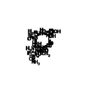 CC[C@H](C)[C@@H]1NC(=O)[C@@H](Cc2ccc(O)cc2)NC(O)CCS(=O)(=O)CC[C@@H](C(=O)N(C)CC(=O)N[C@@H](CC(C)C)C(=O)NCC(N)=O)NC(=O)[C@H](CC(N)=O)NC(=O)[C@H](CCC(N)=O)NC1=O